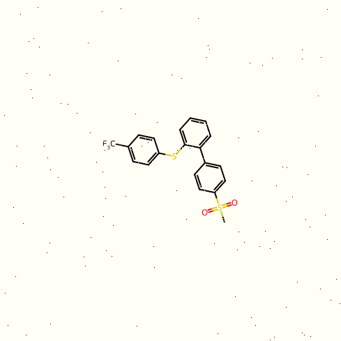 CS(=O)(=O)c1ccc(-c2ccccc2Sc2ccc(C(F)(F)F)cc2)cc1